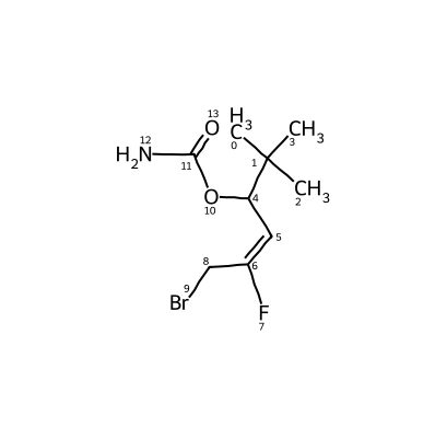 CC(C)(C)C(/C=C(/F)CBr)OC(N)=O